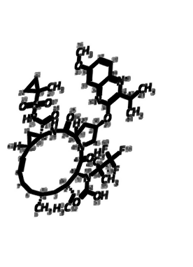 CC[C@@H]1C[C@H](C)CCC=C[C@@H]2C[C@@]2(C(=O)NS(=O)(=O)C2(C)CC2)NC(=O)[C@@H]2C[C@@H](Oc3nc4cc(OC)ccc4nc3C(C)C)CN2C(=O)[C@H]1N(C(=O)O)C(C)(C)C(F)(F)F